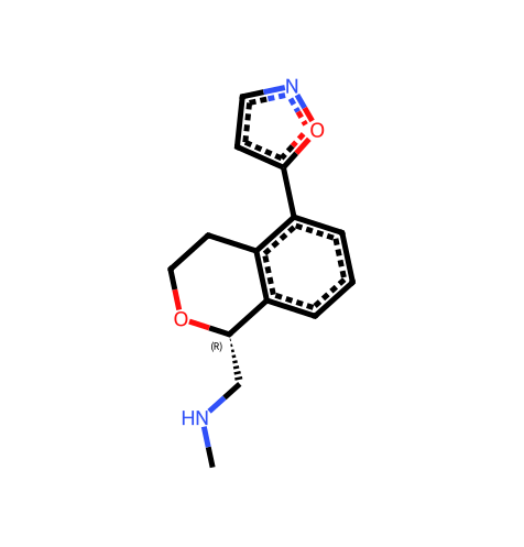 CNC[C@@H]1OCCc2c(-c3ccno3)cccc21